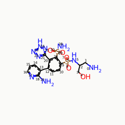 NCC(CO)NS(=O)(=O)c1ccc(-c2cccnc2N)c(-c2nn[nH]n2)c1S(N)(=O)=O